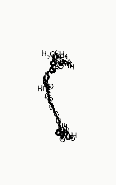 C[C@@H]1CN(c2ccc(-c3cc(CN4CCN(CCNC(=O)CCOCCOCCOCCOCCOCCNc5cccc6c5C(=O)N(C5CCC(=O)NC5=O)C6=O)CC4)ccc3F)cc2NC(=O)c2c[nH]c(=O)cc2C(F)(F)F)C[C@H](C)N1C